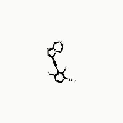 Nc1ccc(F)c(C#Cc2cnc3n2CCOC3)c1F